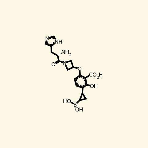 N[C@@H](Cc1cnc[nH]1)C(=O)N1CC(Oc2ccc(C3CC3B(O)O)c(O)c2C(=O)O)C1